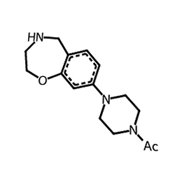 CC(=O)N1CCN(c2ccc3c(c2)OCCNC3)CC1